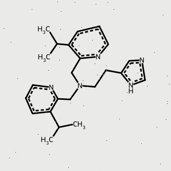 CC(C)c1cccnc1CN(CCc1cnc[nH]1)Cc1ncccc1C(C)C